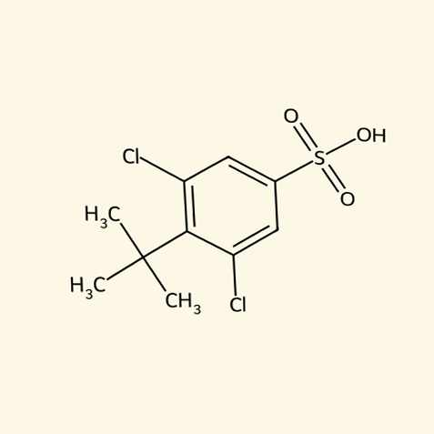 CC(C)(C)c1c(Cl)cc(S(=O)(=O)O)cc1Cl